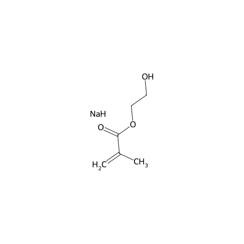 C=C(C)C(=O)OCCO.[NaH]